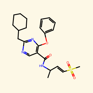 CC(C=CS(C)(=O)=O)NC(=O)c1cnc(CC2CCCCC2)nc1Oc1ccccc1